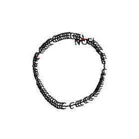 OC1C2CCCCCCCCCCCCCCCCCCCCCCCCCCCCCCCCCCCCCCCCCCCCCCCCCCCCCCCCCCCCCCCCCCCCCCCCCCCCCCCCCCCCCCCCCCCCCCCCCCCCCN(CC2)C1Cc1cccnc1